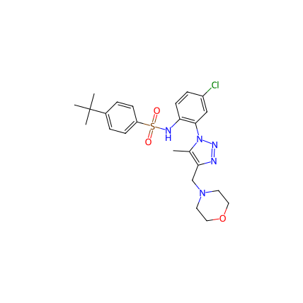 Cc1c(CN2CCOCC2)nnn1-c1cc(Cl)ccc1NS(=O)(=O)c1ccc(C(C)(C)C)cc1